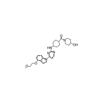 COCCOc1cccc2c1ccn2-c1ccnc(NC2CCC(C(=O)N3CCC(O)CC3)CC2)n1